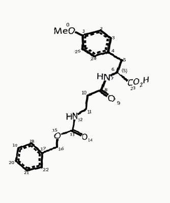 COc1ccc(C[C@H](NC(=O)CCNC(=O)OCc2ccccc2)C(=O)O)cc1